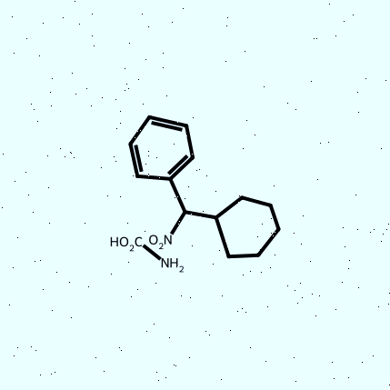 NC(=O)O.O=[N+]([O-])C(c1ccccc1)C1CCCCC1